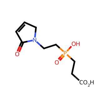 O=C(O)CCP(=O)(O)CCN1CC=CC1=O